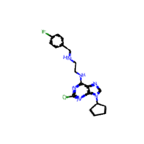 Fc1ccc(CNCCNc2nc(Cl)nc3c2ncn3C2CCCC2)cc1